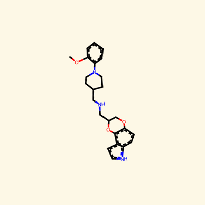 COc1ccccc1N1CCC(CNCC2COc3ccc4[nH]ccc4c3O2)CC1